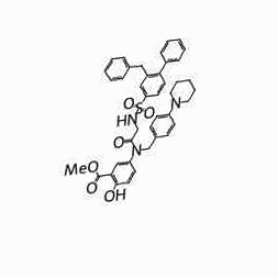 COC(=O)c1cc(N(Cc2ccc(N3CCCCC3)cc2)C(=O)CNS(=O)(=O)c2ccc(-c3ccccc3)c(Cc3ccccc3)c2)ccc1O